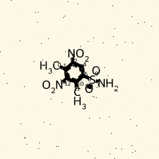 Cc1c([N+](=O)[O-])cc(S(N)(=O)=O)c(C)c1[N+](=O)[O-]